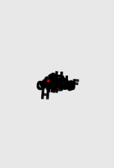 COc1cccc(OC)c1-n1c(NSCCc2ccc(F)cc2C#N)nnc1C1CCC(=O)N1